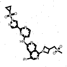 CC(C)c1cnc(N2CC(CS(C)(=O)=O)C2)c2cnc(Nc3ccnc(-c4cnn(S(=O)(=O)C5CC5)c4)n3)cc12